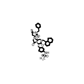 CS(=O)(=O)Nc1ccc(C[C@H]2C(=O)N(Cc3cccc4ccccc34)C[C@H]3N2C(=O)CN3N(CC#N)C(=O)NCc2ccccc2)cc1